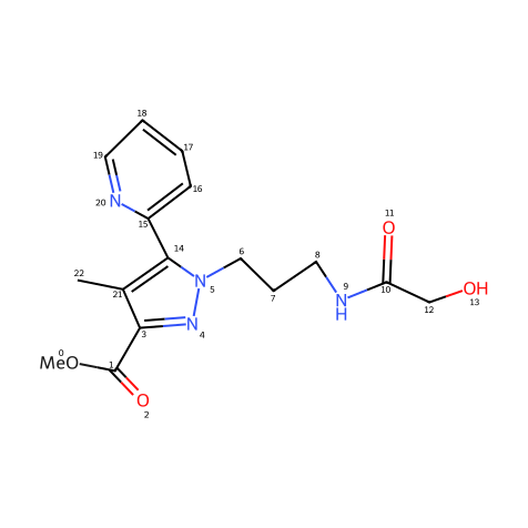 COC(=O)c1nn(CCCNC(=O)CO)c(-c2ccccn2)c1C